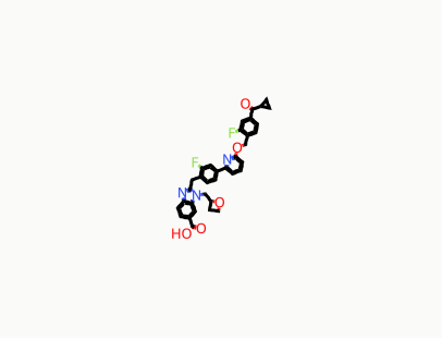 O=C(O)c1ccc2nc(Cc3ccc(-c4cccc(OCc5ccc(C(=O)C6CC6)cc5F)n4)cc3F)n(CC3CCO3)c2c1